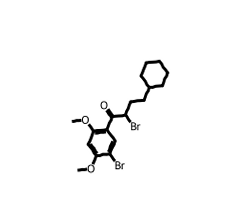 COc1cc(OC)c(C(=O)C(Br)CCC2CCCCC2)cc1Br